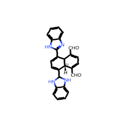 O=CC1=CC=C(C=O)[C@@H]2C(C3Nc4ccccc4N3)=CC=C(c3nc4ccccc4[nH]3)C12